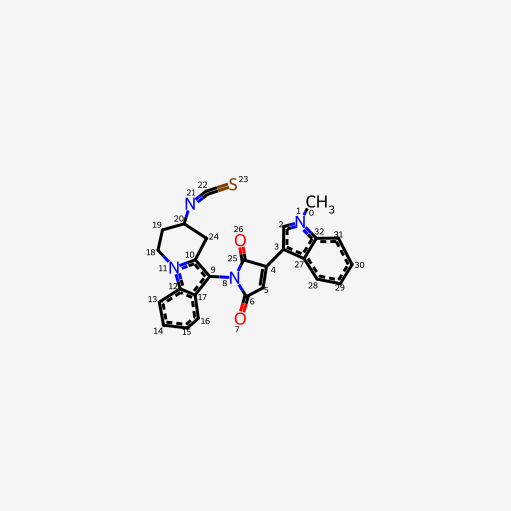 Cn1cc(C2=CC(=O)N(c3c4n(c5ccccc35)CCC(N=C=S)C4)C2=O)c2ccccc21